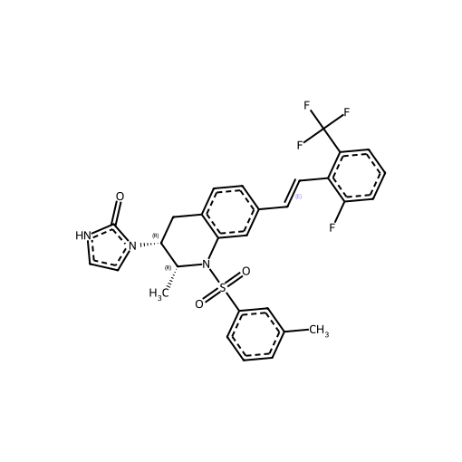 Cc1cccc(S(=O)(=O)N2c3cc(/C=C/c4c(F)cccc4C(F)(F)F)ccc3C[C@@H](n3cc[nH]c3=O)[C@H]2C)c1